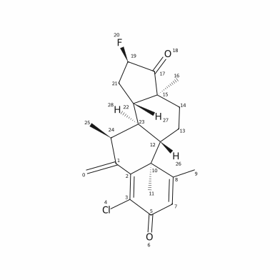 C=C1C2=C(Cl)C(=O)C=C(C)[C@]2(C)[C@H]2CC[C@]3(C)C(=O)[C@H](F)C[C@H]3[C@@H]2[C@@H]1C